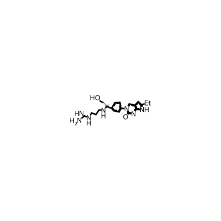 CCc1cc2cn(-c3ccc([C@@H](CCO)NCCCNC(=N)N)cc3)c(=O)nc2[nH]1